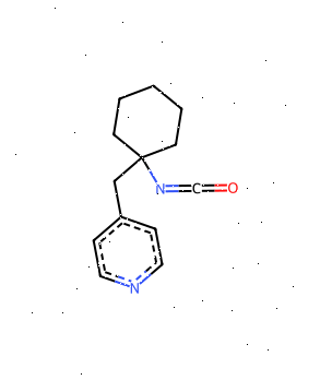 O=C=NC1(Cc2ccncc2)CCCCC1